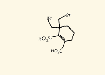 CC(C)CC1(CC(C)C)CCCC(C(=O)O)=C1C(=O)O